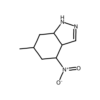 CC1CC2NN=CC2C([N+](=O)[O-])C1